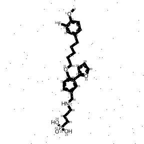 COc1ccc(CCCCCOc2ccc(CNCCCP(=O)(O)O)cc2-c2ccco2)cc1F